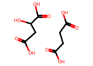 O=C(O)CC(O)C(=O)O.O=C(O)CCC(=O)O